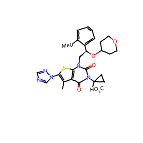 COc1ccccc1[C@H](Cn1c(=O)n(C2(C(=O)O)CC2)c(=O)c2c(C)c(-n3cncn3)sc21)OC1CCOCC1